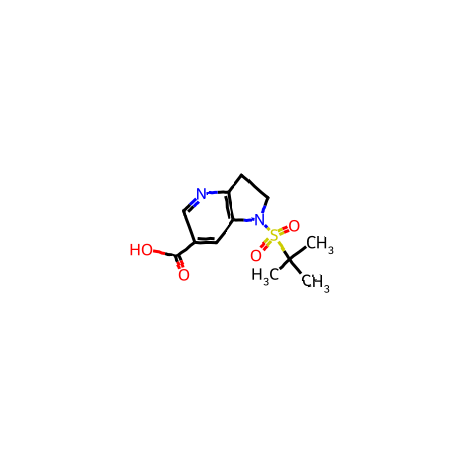 CC(C)(C)S(=O)(=O)N1CCc2ncc(C(=O)O)cc21